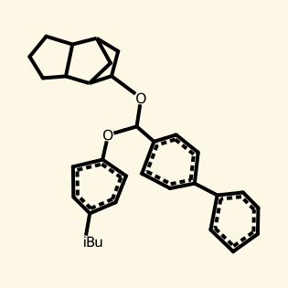 CCC(C)c1ccc(OC(OC2CC3CC2C2CCCC32)c2ccc(-c3ccccc3)cc2)cc1